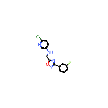 Fc1cccc(-c2noc(CNc3ccc(Cl)nc3)n2)c1